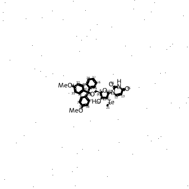 COc1ccc(C(OC[C@H]2O[C@@H](n3ccc(=O)[nH]c3=O)[C@H]([Te]C)[C@@H]2O)(c2ccccc2)c2ccc(OC)cc2)cc1